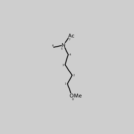 COCCCCN(C)C(C)=O